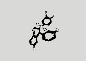 O=S(=O)(c1ccc(F)c(F)c1)c1cnc2ccc(F)cc2c1-c1cccc(Cl)c1